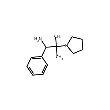 CC(C)(C(N)c1ccccc1)N1CCCC1